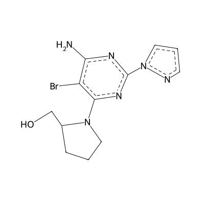 Nc1nc(-n2cccn2)nc(N2CCCC2CO)c1Br